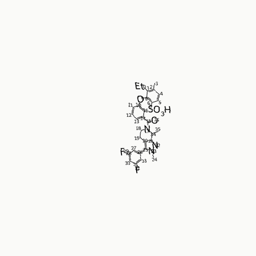 CCc1c(C)ccc(S(=O)(=O)O)c1Oc1cccc(C(=O)N2CCc3c(nn(C)c3-c3cc(F)cc(F)c3)C2C)c1